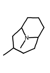 CC1CCC2CCCC(C1)N2C